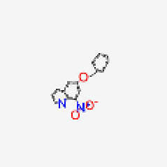 O=[N+]([O-])c1cc(OCc2ccccc2)cc2cccnc12